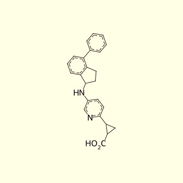 O=C(O)C1CC1c1ccc(NC2CCc3c(-c4ccccc4)cccc32)cn1